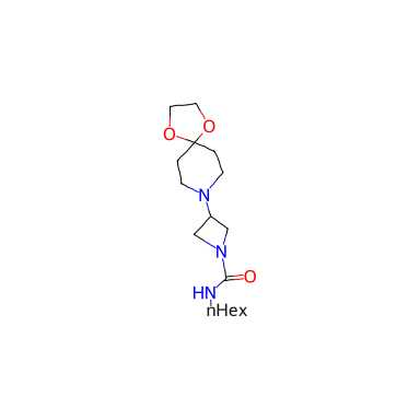 CCCCCCNC(=O)N1CC(N2CCC3(CC2)OCCO3)C1